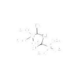 CCC(NC(CC)[Si](OC(C)=O)(OC(C)=O)OC(C)=O)[Si](OC(C)=O)(OC(C)=O)OC(C)=O